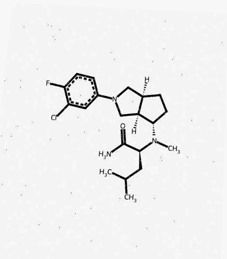 CC(C)C[C@@H](C(N)=O)N(C)[C@H]1CC[C@@H]2CN(c3ccc(F)c(Cl)c3)C[C@@H]21